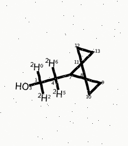 [2H]C([2H])(O)C([2H])([2H])C1C2(CC2)C12CC2